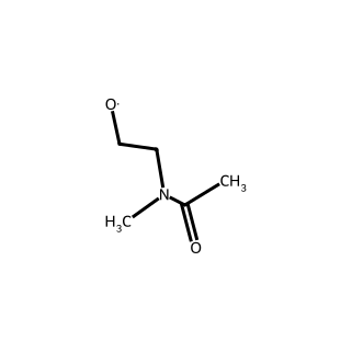 CC(=O)N(C)CC[O]